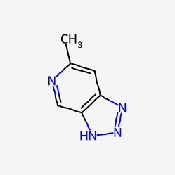 Cc1cc2nn[nH]c2cn1